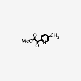 COC(=O)C(=O)c1ccc(C)cn1